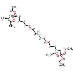 CCO[Si](CCCCCOCCNCCOCCCCC[Si](OCC)(OCC)OCC)(OCC)OCC